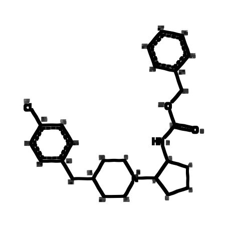 O=C(NC1CCCC1N1CCC(Cc2ccc(Cl)cc2)CC1)OCc1ccccc1